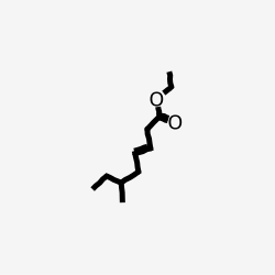 CCOC(=O)C/C=C/CC(C)CC